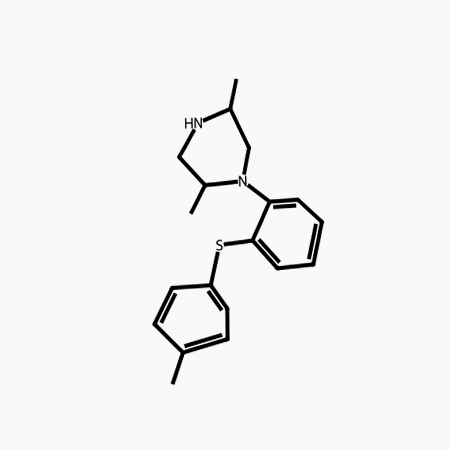 Cc1ccc(Sc2ccccc2N2CC(C)NCC2C)cc1